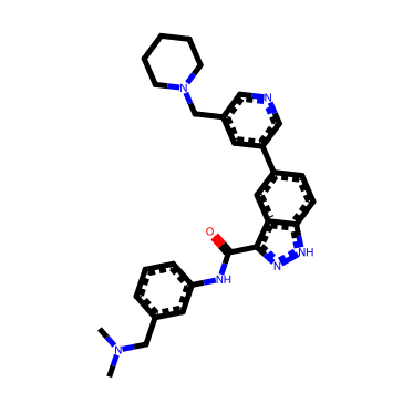 CN(C)Cc1cccc(NC(=O)c2n[nH]c3ccc(-c4cncc(CN5CCCCC5)c4)cc23)c1